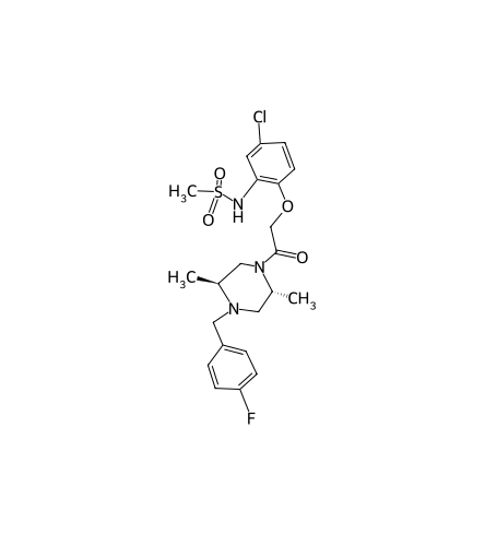 C[C@@H]1CN(Cc2ccc(F)cc2)[C@@H](C)CN1C(=O)COc1ccc(Cl)cc1NS(C)(=O)=O